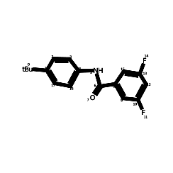 CC(C)(C)c1ccc(NC(=O)c2cc(F)cc(F)c2)cc1